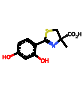 C[C@@]1(C(=O)O)CSC(c2ccc(O)cc2O)=N1